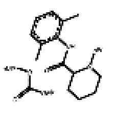 CCCCCCCCCCOC(=O)OC.CCCN1CCCCC1C(=O)Nc1c(C)cccc1C